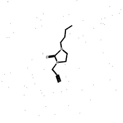 C#CCN1CCN(CCCC)C1=O